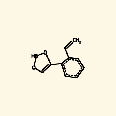 C=Cc1ccccc1C1=COBO1